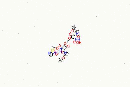 COc1cc(C(=O)N2CCC[C@H]2CO[Si](C)(C)C(C)(C)C)c(NC(=O)O)cc1OCCCOc1cc(NC(=O)OCC(C)SSc2ncccc2[N+](=O)[O-])c(C(=O)N2CCC[C@H]2CO[Si](C)(C)C(C)(C)C)cc1OC